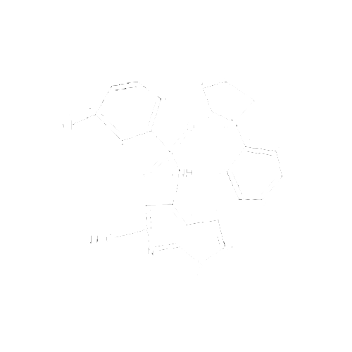 Cc1cc(NS(=O)(=O)c2cccc(Cl)c2)c2c(-c3cccc(N4CCCC4)c3)csc2n1